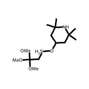 COC(C[SiH2]OC1CC(C)(C)NC(C)(C)C1)(OC)OC